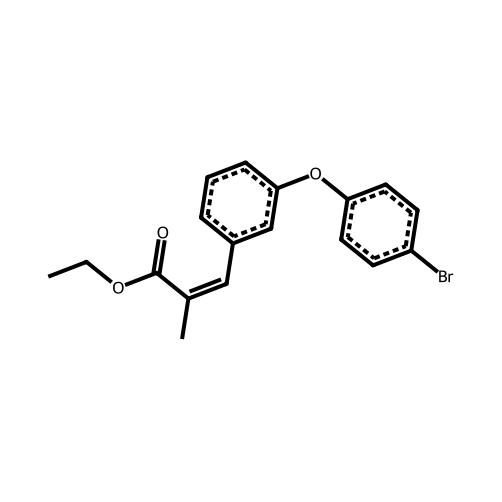 CCOC(=O)C(C)=Cc1cccc(Oc2ccc(Br)cc2)c1